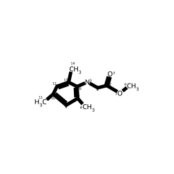 COC(=O)C[N]c1c(C)cc(C)cc1C